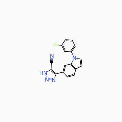 N#Cc1[nH]nnc1-c1ccc2ccn(-c3cccc(F)c3)c2c1